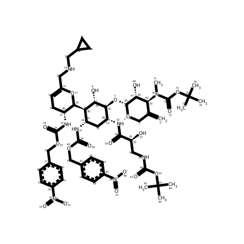 C=C1CO[C@H](O[C@@H]2[C@@H](O)[C@H](C3OC(CNCC4CC4)=CC[C@H]3NC(=O)OCc3ccc([N+](=O)[O-])cc3)[C@@H](NC(=O)OCc3ccc([N+](=O)[O-])cc3)C[C@H]2NC(=O)[C@@H](O)CNC(=O)OC(C)(C)C)[C@H](O)[C@H]1N(C)C(=O)OC(C)(C)C